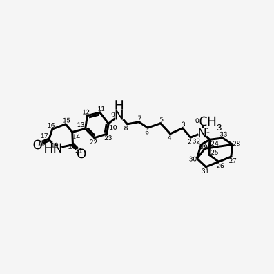 CN(CCCCCCCNc1ccc(C2CCC(=O)NC2=O)cc1)C12CC3CC(CC(C3)C1)C2